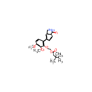 COc1ccc(-c2ccc3c(c2)CNC3=O)c(OCCOC(=O)CC(C)(C)C)c1OC